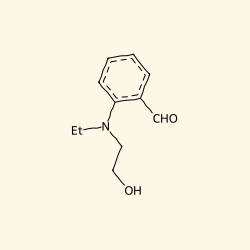 CCN(CCO)c1ccccc1C=O